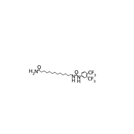 NC(=O)CCCCCCCCCCCCNC(=O)Nc1ccc(C(F)(F)F)c(C(F)(F)F)c1